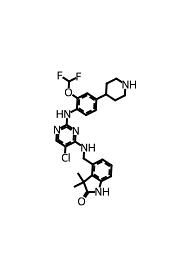 CC1(C)C(=O)Nc2cccc(CNc3nc(Nc4ccc(C5CCNCC5)cc4OC(F)F)ncc3Cl)c21